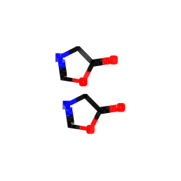 O=C1CN=CO1.O=C1CN=CO1